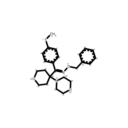 CSc1ccc(C(=NOCc2ccccc2)C2(N3CCOCC3)CCOCC2)cc1